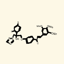 COc1cc(C=CC(=O)c2ccc(OCC(O)(Cn3cncn3)c3ccc(F)cc3F)cc2)cc(OC)c1OC